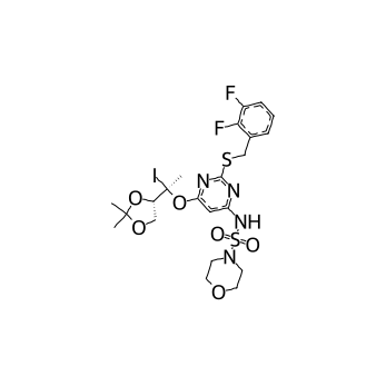 CC1(C)OC[C@@H]([C@@](C)(I)Oc2cc(NS(=O)(=O)N3CCOCC3)nc(SCc3cccc(F)c3F)n2)O1